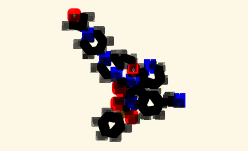 CCOc1ncccc1C1(NC(=O)N2CCN(C3CCN(C4COC4)CC3)CC2)C(=O)N(S(=O)(=O)c2ccccc2)c2ccc(C#N)cc21